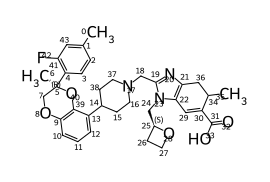 Cc1ccc([C@]2(C)COc3cccc(C4CCN(Cc5nc6c(n5C[C@@H]5CCO5)C=C(C(=O)O)C(C)C6)CC4)c3O2)c(F)c1